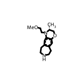 COCCN1c2cc3c(cc2OC[C@H]1C)CCNCC3